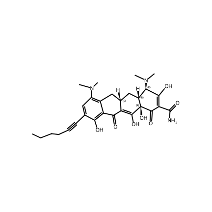 CCCCC#Cc1cc(N(C)C)c2c(c1O)C(=O)C1=C(O)[C@@]3(O)C(=O)C(C(N)=O)=C(O)[C@H](N(C)C)[C@H]3C[C@H]1C2